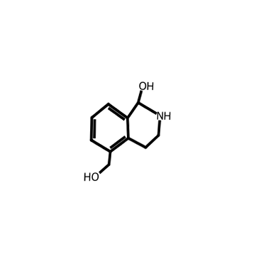 OCc1cccc2c1CCNC2O